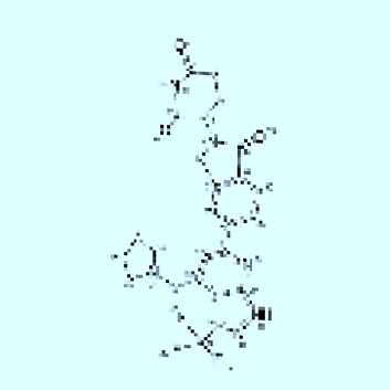 O=C1CCC(N2Cc3cc(-c4cc(CN5CCCC5)c5c(C(F)(F)F)n[nH]c5n4)ccc3C2=O)C(=O)N1